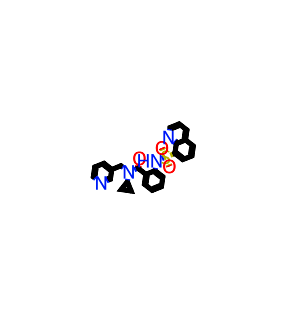 O=C(c1ccccc1NS(=O)(=O)c1cccc2cccnc12)N(Cc1cccnc1)C1CC1